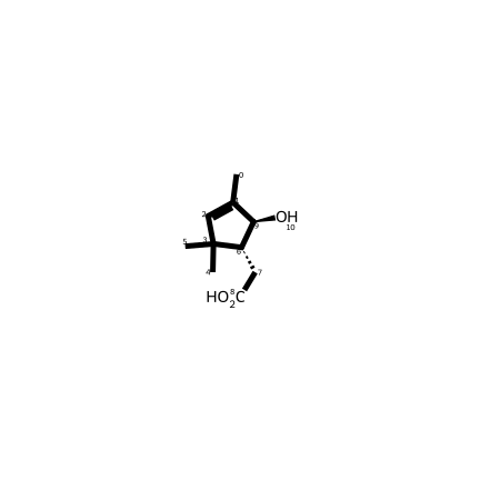 CC1=CC(C)(C)[C@@H](CC(=O)O)[C@@H]1O